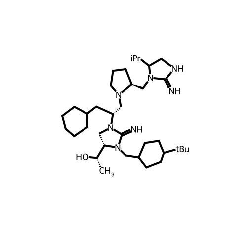 CC(C)C1CNC(=N)N1C[C@@H]1CCCN1C[C@@H](CC1CCCCC1)N1C[C@@H]([C@H](C)O)N(CC2CCC(C(C)(C)C)CC2)C1=N